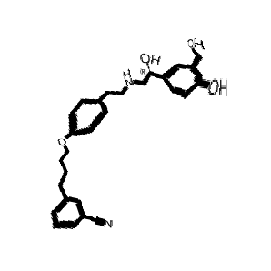 N#Cc1cccc(CCCCOc2ccc(CCNC[C@H](O)c3ccc(O)c(CO)c3)cc2)c1